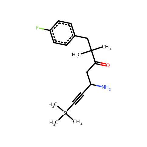 CC(C)(Cc1ccc(F)cc1)C(=O)CC(N)C#C[Si](C)(C)C